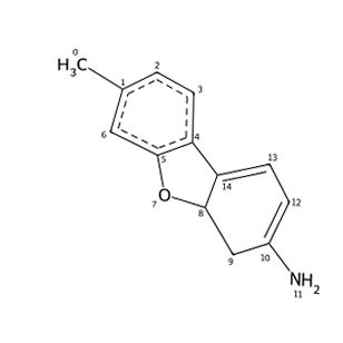 Cc1ccc2c(c1)OC1CC(N)=CC=C21